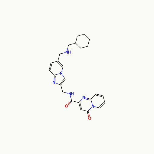 O=C(NCc1cn2cc(CNCC3CCCCC3)ccc2n1)c1cc(=O)n2ccccc2n1